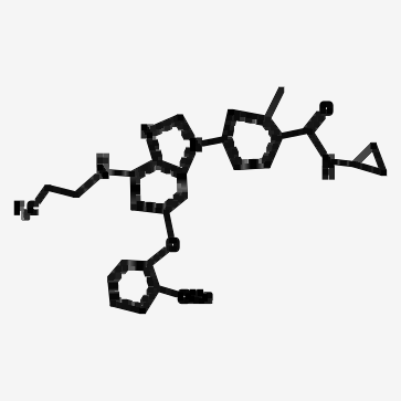 COc1ccccc1Oc1cc(NCCC(F)(F)F)c2ncn(-c3ccc(C(=O)NC4CC4)c(C)c3)c2c1